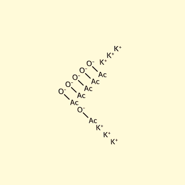 CC(=O)[O-].CC(=O)[O-].CC(=O)[O-].CC(=O)[O-].CC(=O)[O-].CC(=O)[O-].[K+].[K+].[K+].[K+].[K+].[K+]